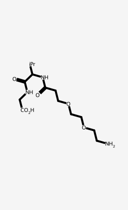 CC(C)C(NC(=O)CCOCCOCCN)C(=O)NCC(=O)O